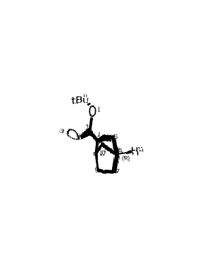 CC(C)(C)OC(=O)C1=C[C@@H]2CCC1C2